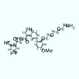 COc1ccc(-c2ccc3nccc(C(=O)NCC(=O)N4CC(F)(F)C[C@H]4C#N)c3c2)c(OCCOCCOCCN)c1